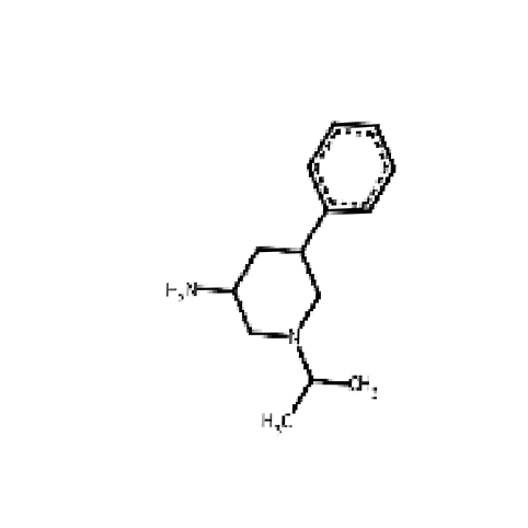 CC(C)N1CC(N)CC(c2ccccc2)C1